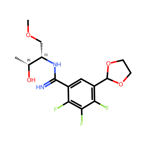 COC[C@H](NC(=N)c1cc(C2OCCO2)c(F)c(F)c1F)[C@@H](C)O